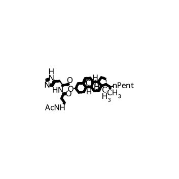 CCCCC[C@@H](C)[C@H]1CC[C@H]2[C@@H]3CC=C4C[C@@H](OC(=O)[C@H](Cc5cnc[nH]5)NC(=O)CCNC(C)=O)CC[C@]4(C)[C@H]3CC[C@]12C